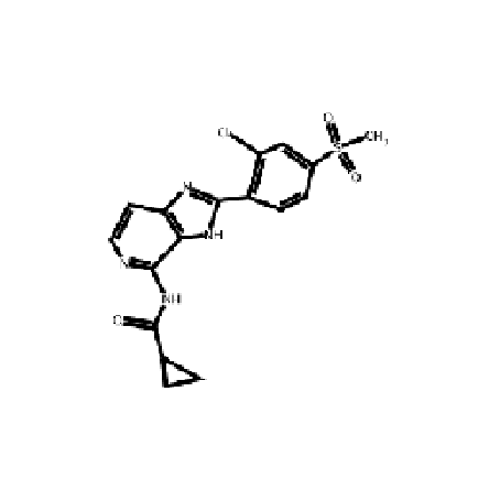 CS(=O)(=O)c1ccc(-c2nc3ccnc(NC(=O)C4CC4)c3[nH]2)c(Cl)c1